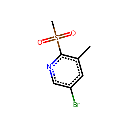 Cc1cc(Br)cnc1S(C)(=O)=O